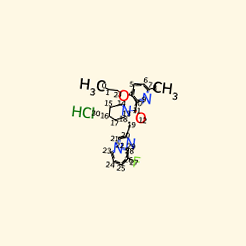 CCCOc1ccc(C)nc1C(=O)N1CCCC[C@H]1Cc1cn2cccc(F)c2n1.Cl